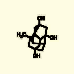 CC12CC3(O)CC4C1CC1(O)CC2C(C3)C4(O)C1